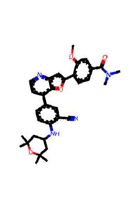 COc1cc(C(=O)N(C)C)ccc1-c1cc2nccc(-c3ccc(NC4CC(C)(C)OC(C)(C)C4)c(C#N)c3)c2o1